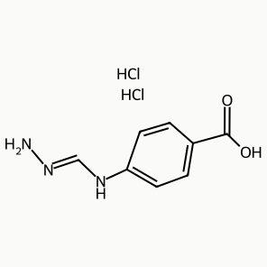 Cl.Cl.NN=CNc1ccc(C(=O)O)cc1